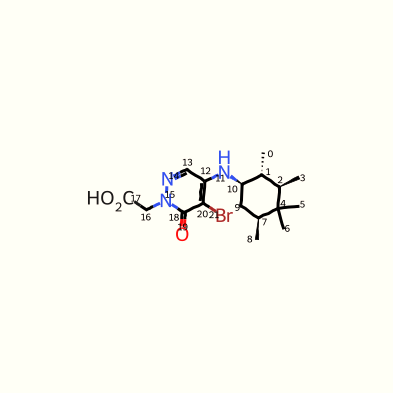 C[C@@H]1[C@@H](C)C(C)(C)[C@@H](C)C[C@H]1Nc1cnn(CC(=O)O)c(=O)c1Br